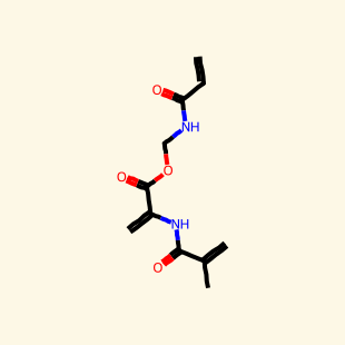 C=CC(=O)NCOC(=O)C(=C)NC(=O)C(=C)C